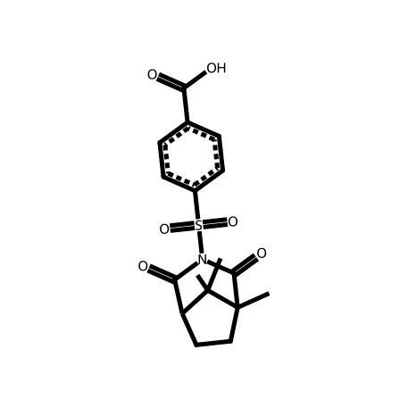 CC12CCC(C(=O)N(S(=O)(=O)c3ccc(C(=O)O)cc3)C1=O)C2(C)C